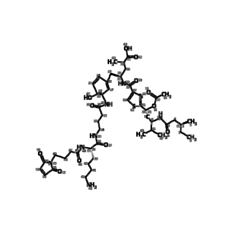 CC[C@H](C)CC(=O)NC(C[C@@H](OC(C)=O)c1nc(C(=O)N[C@@H](Cc2ccc(O)c(NC(=O)CCCNC(=O)[C@H](CCCCN)NC(=O)CCCN3C(=O)C=CC3=O)c2)CC(C)C(=O)O)cs1)C(C)C